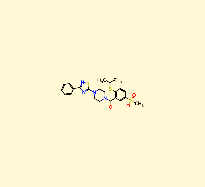 CC(C)Sc1ccc(S(C)(=O)=O)cc1C(=O)N1CCN(c2nc(-c3ccccc3)ns2)CC1